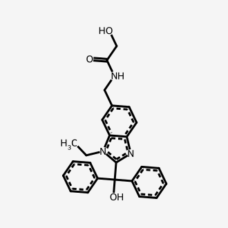 CCn1c(C(O)(c2ccccc2)c2ccccc2)nc2ccc(CNC(=O)CO)cc21